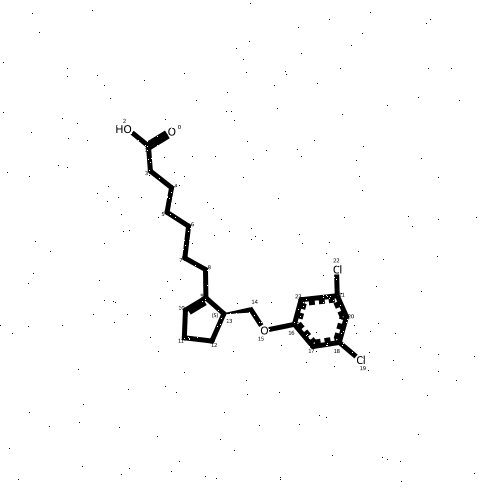 O=C(O)CCCCCCC1=CCC[C@@H]1COc1cc(Cl)cc(Cl)c1